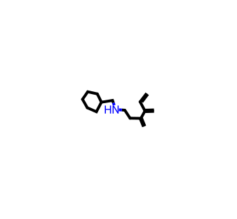 C=CC(=C)C(=C)CCNCC1CCCCC1